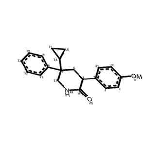 COc1ccc(C2CC(c3ccccc3)(C3CC3)CNC2=O)cc1